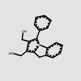 OCc1c(CO)c(-c2ccccc2)n2c1Cc1ccccc1-2